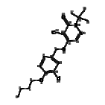 CCCCOc1ccc(COc2cnn(C(C)(C)C)c(=O)c2Cl)cc1Cl